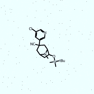 CN1C2CC(O[Si](C)(C)C(C)(C)C)C1CC(C#N)(c1cncc(Cl)c1)C2